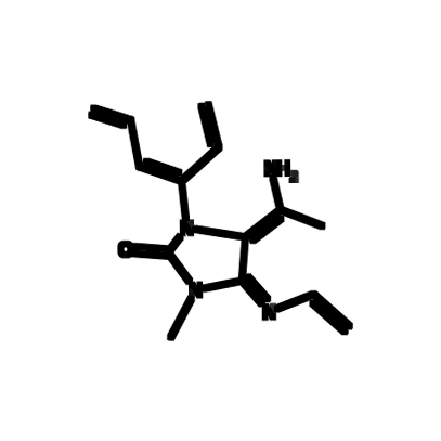 C=C/C=C(\C=C)N1C(=O)N(C)C(=N/C=C)/C1=C(\C)N